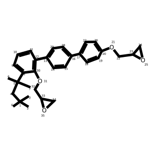 CC(C)(C)CC(C)(C)c1cccc(-c2ccc(-c3ccc(OCC4CO4)cc3)cc2)c1OCC1CO1